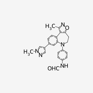 Cc1noc2c1-c1ccc(-c3cnn(C)c3)cc1N(c1ccc(NC=O)cc1)CC2